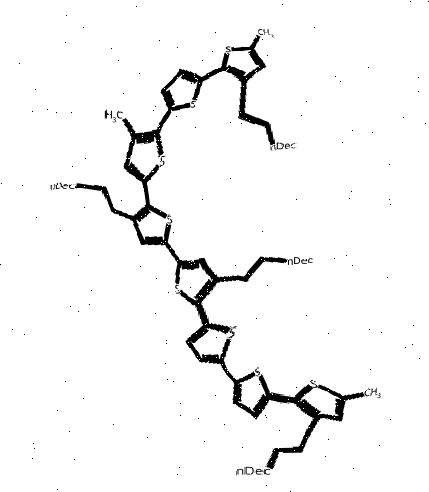 CCCCCCCCCCCCc1cc(C)sc1-c1ccc(-c2ccc(-c3sc(-c4cc(CCCCCCCCCCCC)c(-c5cc(C)c(-c6ccc(-c7sc(C)cc7CCCCCCCCCCCC)s6)s5)s4)cc3CCCCCCCCCCCC)s2)s1